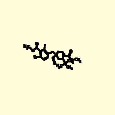 COC(=O)c1c(Br)ccc(CC2(C=O)CCN(C(=O)OC)C(C(C)(C)C)C2)c1F